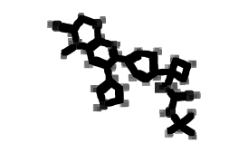 CN1C(=O)COc2nc(-c3ccc(C4(NC(=O)OC(C)(C)C)CCC4)cc3)c(-c3ccsc3)cc21